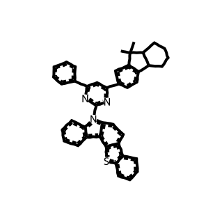 CC1(C)c2cc(-c3cc(-c4ccccc4)nc(-n4c5ccccc5c5c6sc7ccccc7c6ccc54)n3)ccc2C2CCCCC21